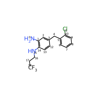 Nc1cc(Cc2ccccc2Cl)ccc1NCCC(F)(F)F